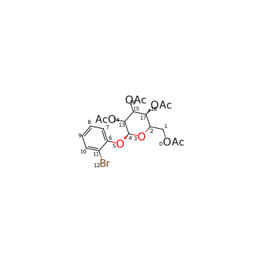 CC(=O)OCC1O[C@@H](Oc2ccccc2Br)C(OC(C)=O)C(OC(C)=O)[C@H]1OC(C)=O